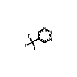 FC(F)(F)c1[c]nnnc1